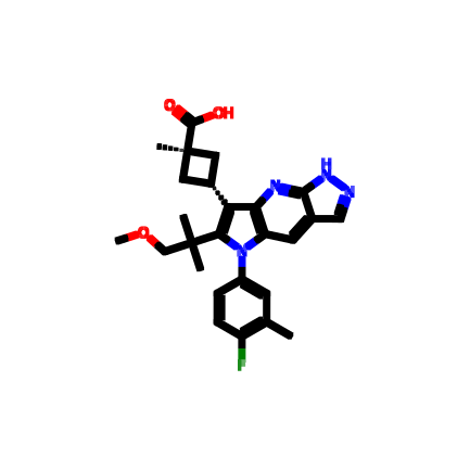 COCC(C)(C)c1c([C@H]2C[C@](C)(C(=O)O)C2)c2nc3[nH]ncc3cc2n1-c1ccc(F)c(C)c1